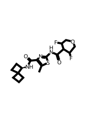 Cc1sc(NC(=O)C2C(F)COCC2F)nc1C(=O)N[C@@H]1CCC12CCC2